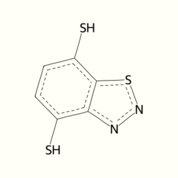 Sc1ccc(S)c2snnc12